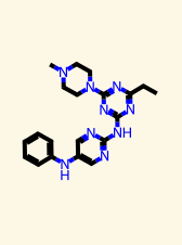 CCc1nc(Nc2ncc(Nc3ccccc3)cn2)nc(N2CCN(C)CC2)n1